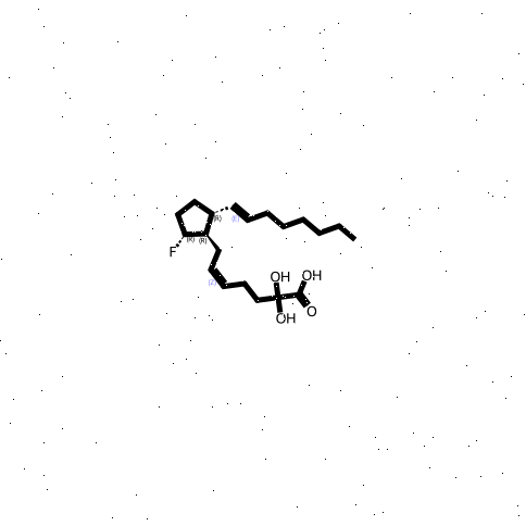 CCCCCC/C=C/[C@H]1CC[C@@H](F)[C@@H]1C/C=C\CCC(O)(O)C(=O)O